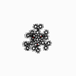 c1ccc2c(c1)-c1c(c3c(c4c1C(c1ccc(-n5c6ccccc6c6ccccc65)cc1)(c1ccc(-n5c6ccccc6c6ccccc65)cc1)c1ccccc1-4)C(c1ccc(-n4c5ccccc5c5ccccc54)cc1)(c1ccc(-n4c5ccccc5c5ccccc54)cc1)c1ccccc1-3)C2(c1ccc(-n2c3ccccc3c3ccccc32)cc1)c1ccc(-n2c3ccccc3c3ccccc32)cc1